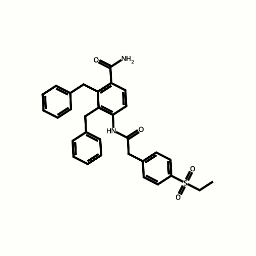 CCS(=O)(=O)c1ccc(CC(=O)Nc2ccc(C(N)=O)c(Cc3ccccc3)c2Cc2ccccc2)cc1